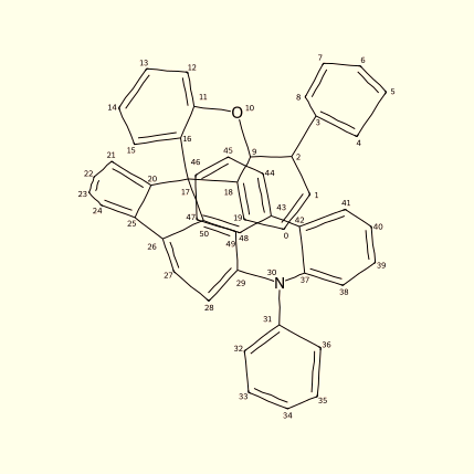 C1=CC(c2ccccc2)C2Oc3ccccc3C3(C2=C1)c1ccccc1-c1ccc(N(c2ccccc2)c2ccccc2-c2ccccc2)cc13